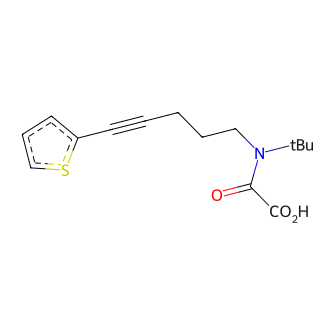 CC(C)(C)N(CCCC#Cc1cccs1)C(=O)C(=O)O